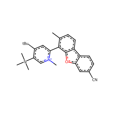 Cc1ccc2c(oc3cc(C#N)ccc32)c1-c1cc(C(C)(C)C)c([Si](C)(C)C)c[n+]1C